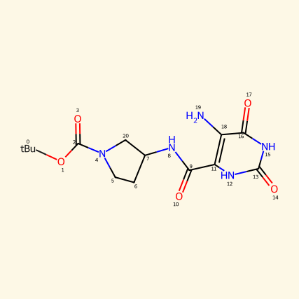 CC(C)(C)OC(=O)N1CCC(NC(=O)c2[nH]c(=O)[nH]c(=O)c2N)C1